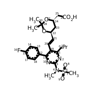 CC(C)c1nc(N(C)S(C)(=O)=O)nc(-c2ccc(F)cc2)c1C=C[C@@H]1C[C@@H](CC(=O)O)OC(C)(C)O1